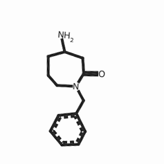 NC1CCCN(Cc2ccccc2)C(=O)C1